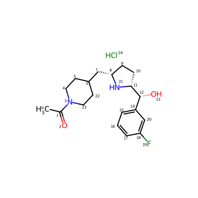 CC(=O)N1CCC(C[C@@H]2CC[C@H]([C@H](O)c3cccc(F)c3)N2)CC1.Cl